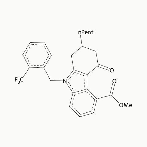 CCCCCC1CC(=O)c2c(n(Cc3ccccc3C(F)(F)F)c3cccc(C(=O)OC)c23)C1